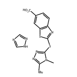 Cn1c(Sc2nc3ccc(C(=O)O)cc3s2)nnc1C(C)(C)C.c1nc[nH]n1